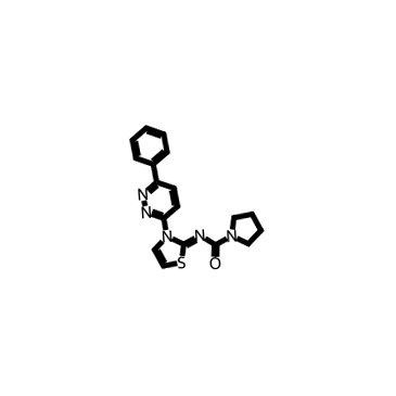 O=C(N=c1sccn1-c1ccc(-c2ccccc2)nn1)N1CCCC1